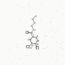 CCCCCC(=O)c1ccc(Cl)c(Cl)c1